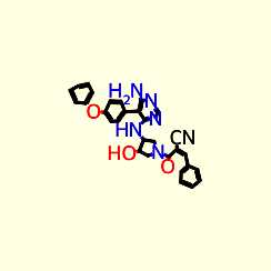 N#C/C(=C/c1ccccc1)C(=O)N1CC(O)C(Nc2ncnc(N)c2-c2ccc(Oc3ccccc3)cc2)C1